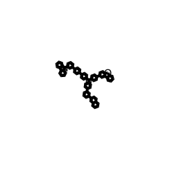 c1cc(-c2ccc(N(c3ccc(-c4ccc(-c5cccc(-n6c7ccccc7c7ccccc76)c5)cc4)cc3)c3ccc(-c4ccc5oc6ccccc6c5c4)cc3)cc2)cc(-c2ccc3ccccc3c2)c1